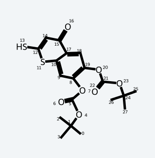 CC(C)(C)OC(=O)Oc1cc2sc(S)cc(=O)c2cc1OC(=O)OC(C)(C)C